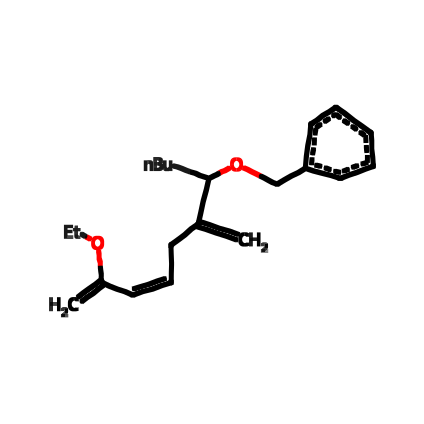 C=C(/C=C\CC(=C)C(CCCC)OCc1ccccc1)OCC